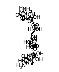 C=CN(c1nc(N)[nH]c(=O)c1NC)[C@@H]1O[C@H](COP(=O)(O)OP(=O)(O)c2cn(CCNP(=O)(O)OC[C@H]3O[C@@H](n4cnc5c(=O)[nH]c(N)nc54)C(O)C3O)nn2)C(O)C1O